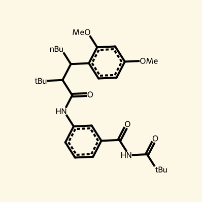 CCCCC(c1ccc(OC)cc1OC)C(C(=O)Nc1cccc(C(=O)NC(=O)C(C)(C)C)c1)C(C)(C)C